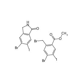 COC(=O)c1cc(I)c(Br)cc1CBr.O=C1NCc2cc(Br)c(I)cc21